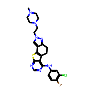 CN1CCN(CCn2cc3c(n2)CCc2c-3sc3ncnc(Nc4ccc(Br)c(Cl)c4)c23)CC1